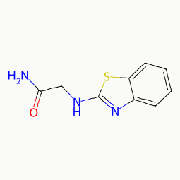 NC(=O)CNc1nc2ccccc2s1